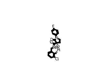 O=C(NCc1cccc(Cl)c1F)[C@]1(O)CCN(c2ccc(F)cc2)C1=O